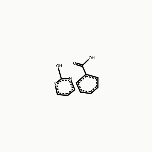 O=C(O)c1ccccc1.Oc1ncccn1